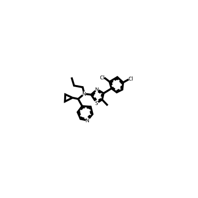 CCCN(c1nc(-c2ccc(Cl)cc2Cl)c(C)s1)C(c1ccncc1)C1CC1